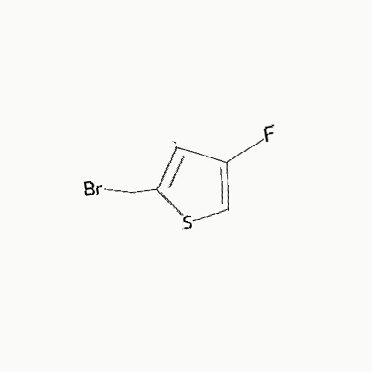 Fc1[c]c(Br)sc1